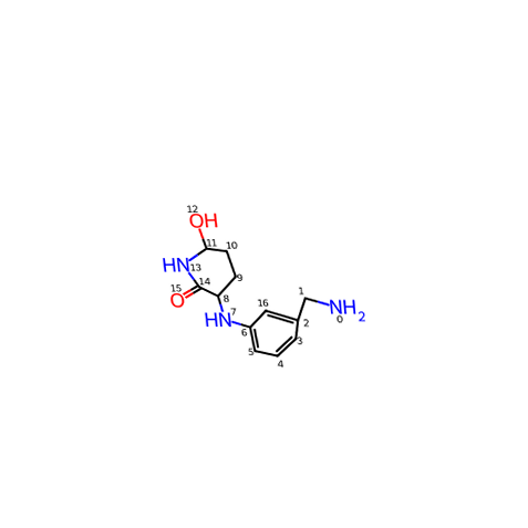 NCc1cccc(NC2CCC(O)NC2=O)c1